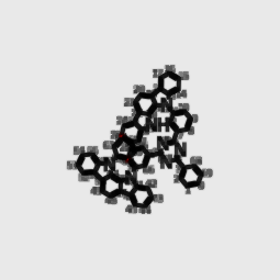 c1ccc(-c2nc(-c3cccc(-n4c5ccccc5c5ccc6c7ccccc7[nH]c6c54)c3)nc(-c3cccc(-n4c5ccccc5c5ccc6c7ccccc7n(-c7ccccc7)c6c54)c3)n2)cc1